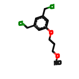 O=NOCCCOc1cc(CCl)cc(CCl)c1